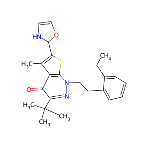 CCc1ccccc1CCn1nc(C(C)(C)C)c(=O)c2c(C)c(C3NC=CO3)sc21